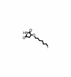 O=C1CC(OCCCCCCI)C(=O)N1